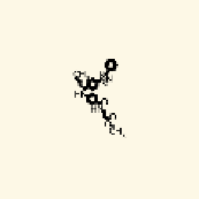 CCCC[C@H](Nc1ccc(C(=O)NCCC(=O)OCC)cc1)c1ccc(-c2nc(-c3ccccc3)no2)cc1